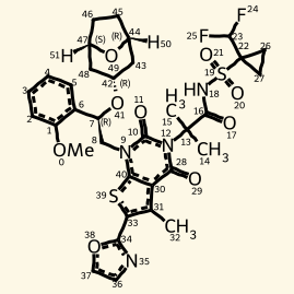 COc1ccccc1[C@H](Cn1c(=O)n(C(C)(C)C(=O)NS(=O)(=O)C2(C(F)F)CC2)c(=O)c2c(C)c(-c3ncco3)sc21)O[C@H]1C[C@H]2CC[C@@H](C1)O2